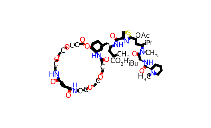 CC[C@H](C)[C@H](NC(=O)[C@H]1CCCCN1C)C(=O)N(C)C(C[C@@H](OC(C)=O)c1nc(C(=O)N[C@@H](Cc2ccc3c(c2)NC(=O)CCOCCOCCNC(=O)C#CC(=O)NCCOCCOCCC(=O)O3)CC(C)C(=O)O)cs1)C(C)C